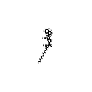 CCCCCCCCCCCCNC(=O)c1ccc(CC(C)([NH])c2cccc3ccccc23)cc1